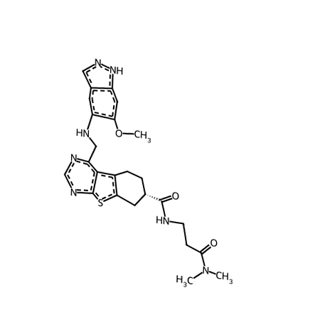 COc1cc2[nH]ncc2cc1NCc1ncnc2sc3c(c12)CC[C@H](C(=O)NCCC(=O)N(C)C)C3